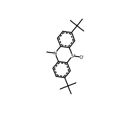 CN1c2ccc(C(C)(C)C)cc2[S+]([O-])c2cc(C(C)(C)C)ccc21